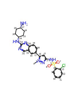 Cn1nc(NS(=O)(=O)c2ccccc2Cl)cc1-c1ccc2nc(NC3CCC(N)CC3)ncc2c1